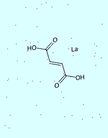 O=C(O)C=CC(=O)O.[La]